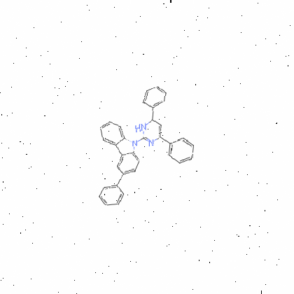 C1=C(c2ccccc2)N=C(n2c3ccccc3c3cc(-c4ccccc4)ccc32)NC1c1ccccc1